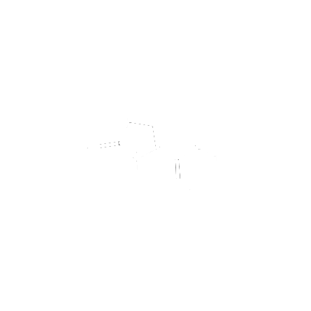 C=C(NCC)[C@H]1CCC(=O)N1